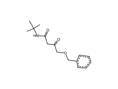 CC(C)(C)NC(=O)CC(=O)COCc1ccccc1